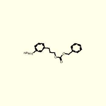 CCCCCc1cccc(CCCOC(=O)OCc2ccccc2)c1